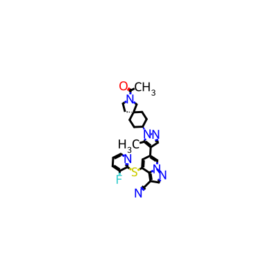 CC(=O)N1CC[C@]2(CC[C@H](n3ncc(-c4cc(Sc5ncccc5F)c5c(C#N)cnn5c4)c3C)CC2)C1